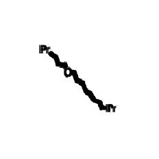 CC(C)CCCCCCCCOCCCCC(C)C